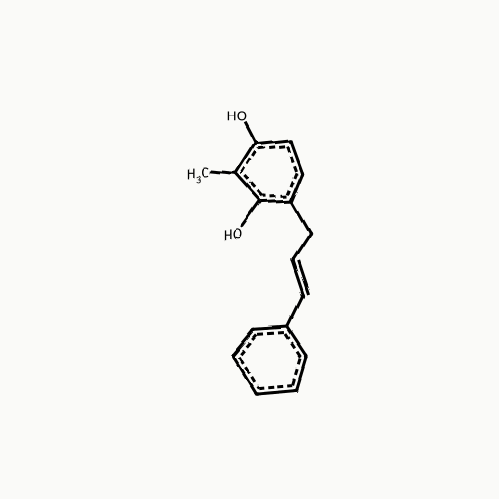 Cc1c(O)ccc(C/C=C/c2ccccc2)c1O